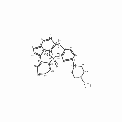 CN1CCN(c2ccc(Nc3ncc4ccc(-c5ccccc5S(C)(=O)=O)n4n3)cc2)CC1